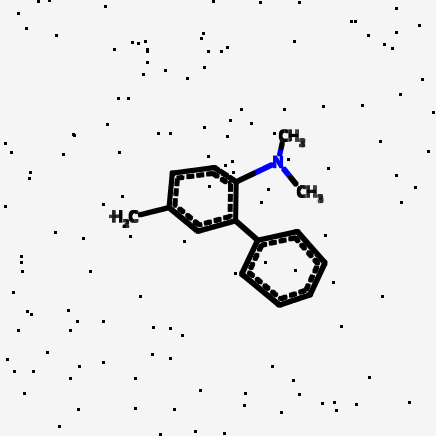 [CH2]c1ccc(N(C)C)c(-c2ccccc2)c1